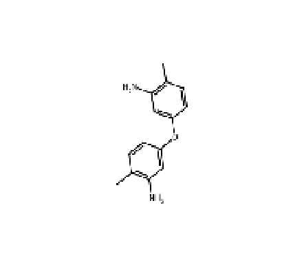 Cc1ccc(Oc2ccc(C)c(N)c2)cc1N